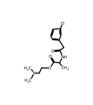 CC(NC(=O)Cc1cccc(Cl)c1)C(=O)OCCN(C)C